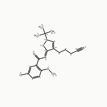 COc1ccc(Cl)cc1C(=O)/N=c1\sn(C(C)(C)C)cc1CCCC#N